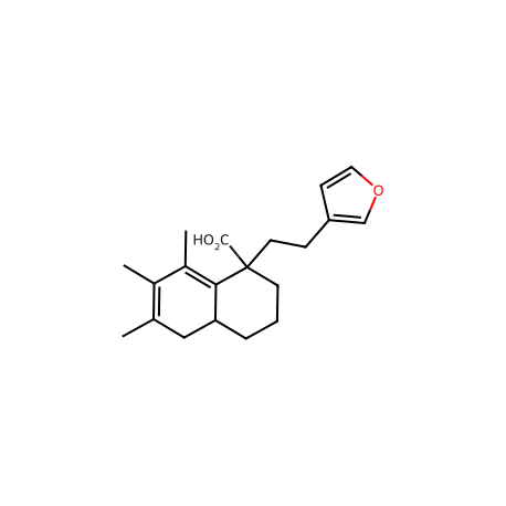 CC1=C(C)C(C)=C2C(CCCC2(CCc2ccoc2)C(=O)O)C1